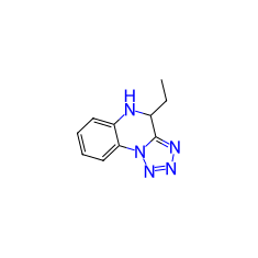 CCC1Nc2ccccc2-n2nnnc21